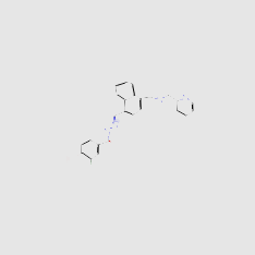 O=C(N/N=C/c1ccc(CNCC2C=CC=CN2)c2ccccc12)c1ccc(O)c(Cl)c1